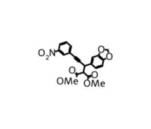 COC(=O)C(C(=O)OC)C(C#Cc1cccc([N+](=O)[O-])c1)c1ccc2c(c1)OCO2